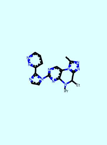 CCC1c2nnc(C)n2-c2cnc(-n3ccnc3-c3cccnn3)nc2N1C(C)C